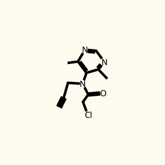 C#CCN(C(=O)CCl)c1c(C)ncnc1C